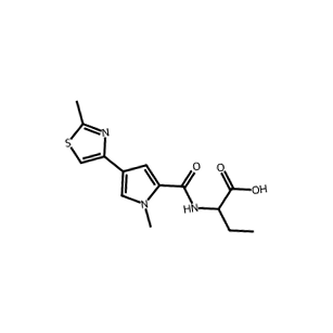 CCC(NC(=O)c1cc(-c2csc(C)n2)cn1C)C(=O)O